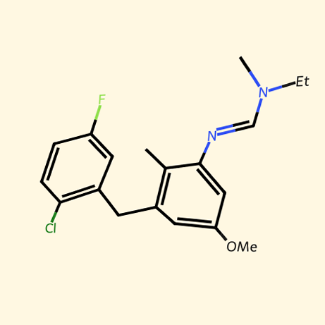 CCN(C)C=Nc1cc(OC)cc(Cc2cc(F)ccc2Cl)c1C